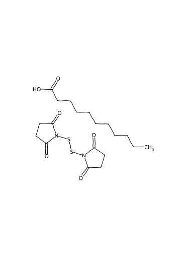 CCCCCCCCCCC(=O)O.O=C1CCC(=O)N1SSN1C(=O)CCC1=O